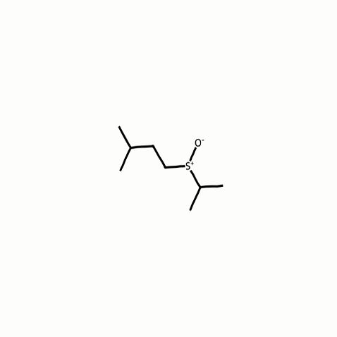 CC(C)CC[S+]([O-])C(C)C